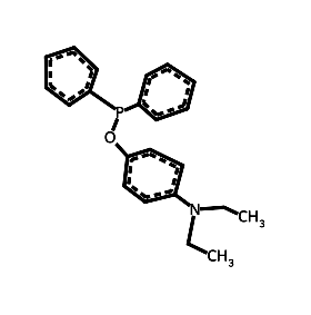 CCN(CC)c1ccc(OP(c2ccccc2)c2ccccc2)cc1